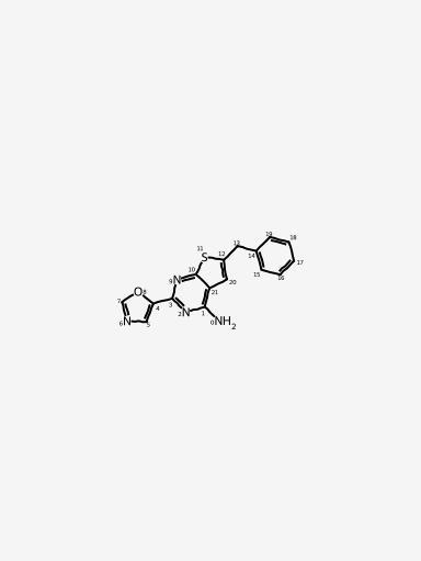 Nc1nc(-c2cnco2)nc2sc(Cc3ccccc3)cc12